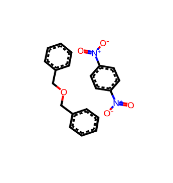 O=[N+]([O-])c1ccc([N+](=O)[O-])cc1.c1ccc(COCc2ccccc2)cc1